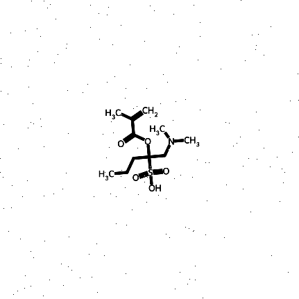 C=C(C)C(=O)OC(CCC)(CN(C)C)S(=O)(=O)O